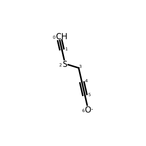 C#CSCC#C[O]